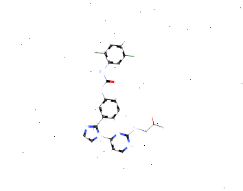 CC(O)CNc1nccc(-n2ccnc2-c2cccc(NC(=O)Nc3cc(Cl)c(Cl)cc3Cl)c2)n1